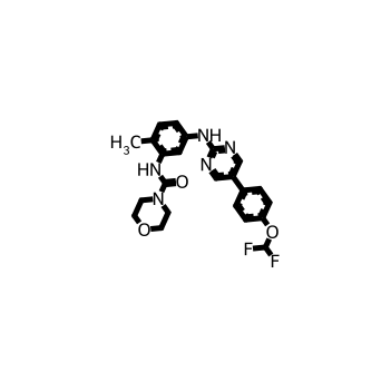 Cc1ccc(Nc2ncc(-c3ccc(OC(F)F)cc3)cn2)cc1NC(=O)N1CCOCC1